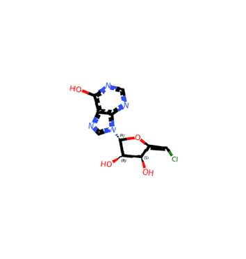 Oc1ncnc2c1ncn2[C@@H]1OC(=CCl)[C@@H](O)[C@H]1O